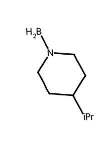 BN1CCC(C(C)C)CC1